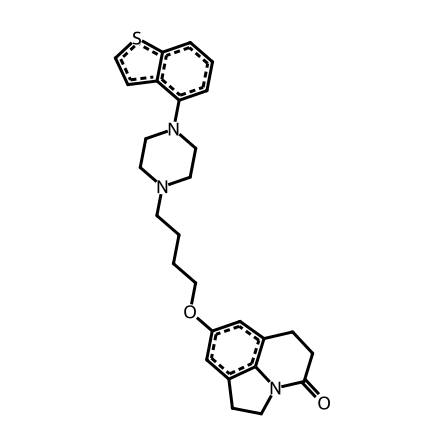 O=C1CCc2cc(OCCCCN3CCN(c4cccc5sccc45)CC3)cc3c2N1CC3